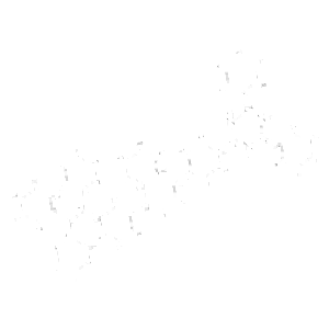 C1=CCCC(/C(=C(/c2ccccc2)c2cccc(-c3ccc(-c4ccc(-c5nc(-c6ccccc6)nc(-c6ccccc6)n5)cc4)c4ccccc34)c2)c2ccccc2)=C1